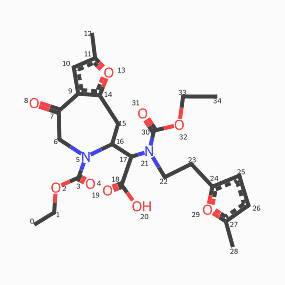 CCOC(=O)N1CC(=O)c2cc(C)oc2CC1C(C(=O)O)N(CCc1ccc(C)o1)C(=O)OCC